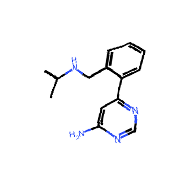 CC(C)NCc1ccccc1-c1cc(N)ncn1